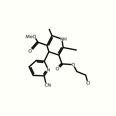 COC(=O)C1=C(C)NC(C)=C(C(=O)OCCCl)C1c1cccc(C#N)n1